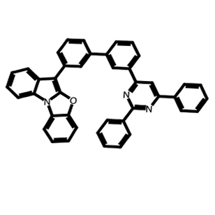 c1ccc(-c2cc(-c3cccc(-c4cccc(-c5c6ccccc6n6c5oc5ccccc56)c4)c3)nc(-c3ccccc3)n2)cc1